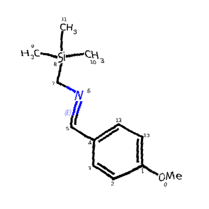 COc1ccc(/C=N/C[Si](C)(C)C)cc1